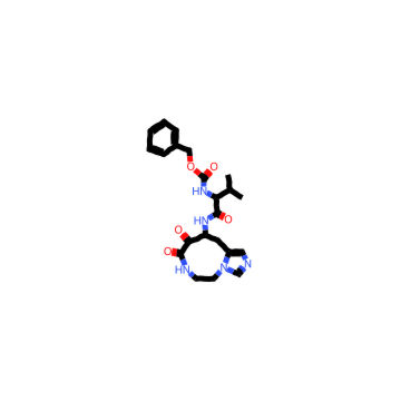 CC(C)C(NC(=O)OCc1ccccc1)C(=O)NC1Cc2cncn2CCNC(=O)C1=O